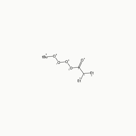 CCC(CC)C(=O)OOOOC(C)(C)C